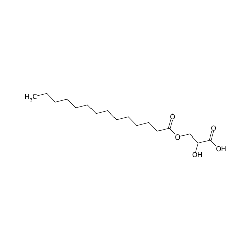 CCCCCCCCCCCCCC(=O)OCC(O)C(=O)O